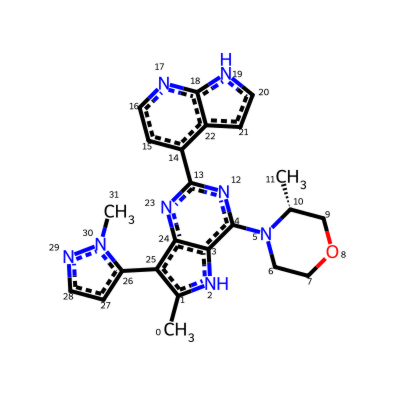 Cc1[nH]c2c(N3CCOC[C@H]3C)nc(-c3ccnc4[nH]ccc34)nc2c1-c1ccnn1C